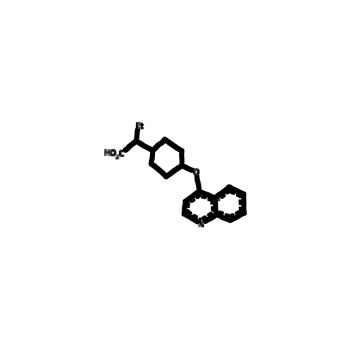 CCC(C(=O)O)C1CCC(Oc2ccnc3ccccc23)CC1